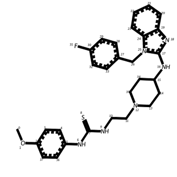 COc1ccc(NC(=S)NCCN2CCC(Nc3nc4ccccc4n3Cc3ccc(F)cc3)CC2)cc1